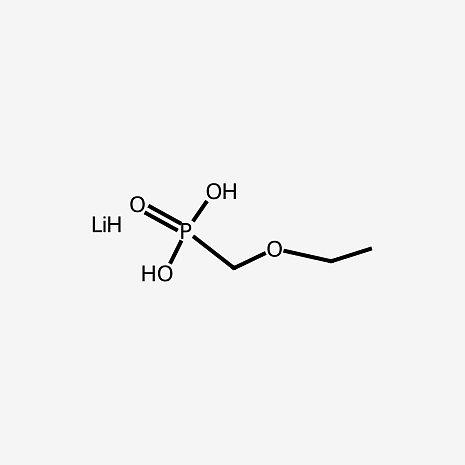 CCOCP(=O)(O)O.[LiH]